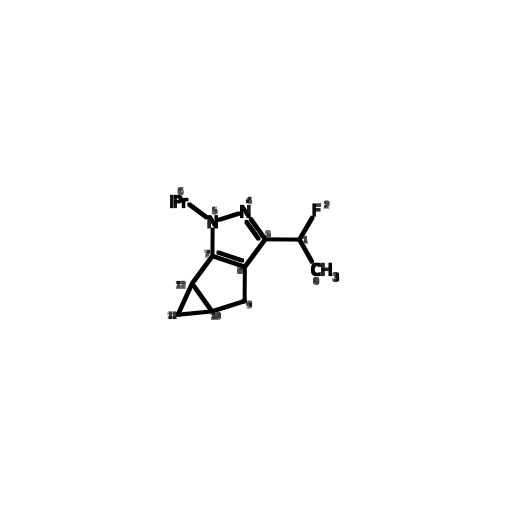 CC(F)c1nn(C(C)C)c2c1CC1CC21